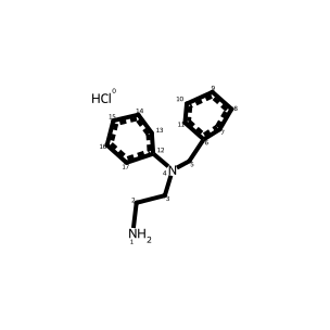 Cl.NCCN(Cc1ccccc1)c1ccccc1